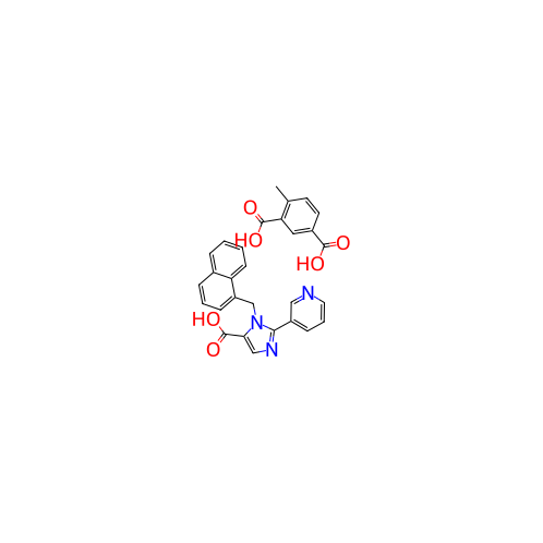 Cc1ccc(C(=O)O)cc1C(=O)O.O=C(O)c1cnc(-c2cccnc2)n1Cc1cccc2ccccc12